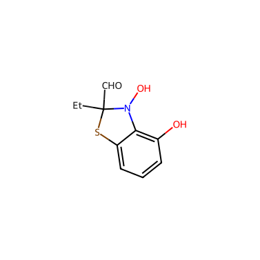 CCC1(C=O)Sc2cccc(O)c2N1O